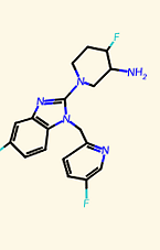 NC1CN(c2nc3cc(F)ccc3n2Cc2ccc(F)cn2)CCC1F